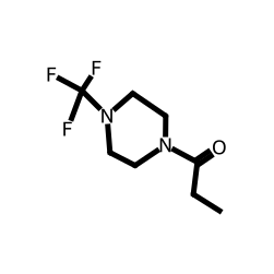 CCC(=O)N1CCN(C(F)(F)F)CC1